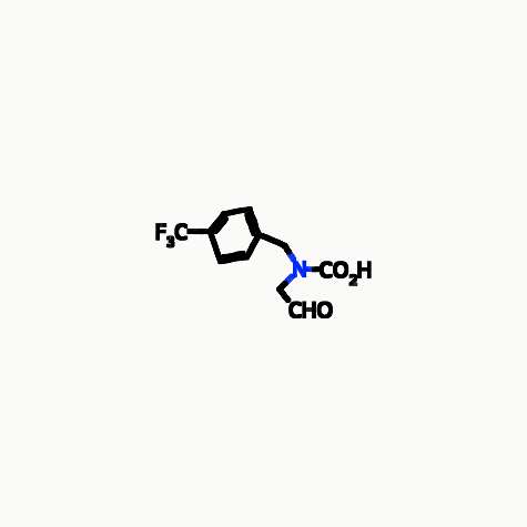 O=CCN(Cc1ccc(C(F)(F)F)cc1)C(=O)O